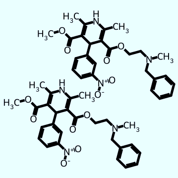 COC(=O)C1=C(C)NC(C)=C(C(=O)OCCN(C)Cc2ccccc2)C1c1cccc([N+](=O)[O-])c1.COC(=O)C1=C(C)NC(C)=C(C(=O)OCCN(C)Cc2ccccc2)C1c1cccc([N+](=O)[O-])c1